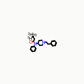 [2H]C([2H])([2H])CC(=O)N(c1ccccc1)C1CCN(CCc2ccccc2)CC1